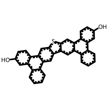 Oc1ccc2c(c1)c1ccccc1c1cc3c(cc21)sc1cc2c4ccc(O)cc4c4ccccc4c2cc13